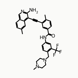 Cc1ccc2cnc(N)c(C#Cc3cc(C(=O)Nc4ccc(CN5CCN(C)CC5)c(C(F)(F)F)c4)ccc3C)c2c1